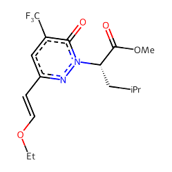 CCO/C=C/c1cc(C(F)(F)F)c(=O)n([C@@H](CC(C)C)C(=O)OC)n1